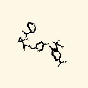 CC(O)c1ccc(Oc2ccc(CNC(=O)C3(NC(=O)c4ccncc4)CC3)nc2)c(C(F)(F)F)c1